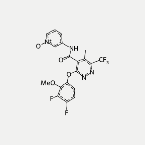 COc1c(Oc2nnc(C(F)(F)F)c(C)c2C(=O)Nc2ccc[n+]([O-])c2)ccc(F)c1F